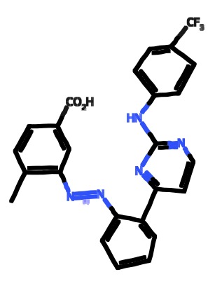 Cc1ccc(C(=O)O)cc1/N=N/c1ccccc1-c1ccnc(Nc2ccc(C(F)(F)F)cc2)n1